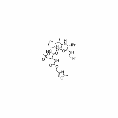 Cc1nc(COC(=O)N[C@@H](CS(C)(=O)=O)C(=O)N[C@H](CC(C)C)[C@@H](O)C[C@@H](C)C(=O)N[C@@H](C(=O)NCC(C)C)C(C)C)co1